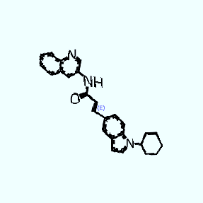 O=C(/C=C/c1ccc2c(ccn2C2CCCCC2)c1)Nc1cnc2ccccc2c1